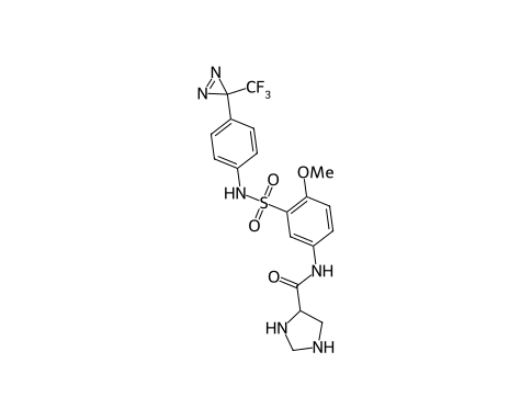 COc1ccc(NC(=O)C2CNCN2)cc1S(=O)(=O)Nc1ccc(C2(C(F)(F)F)N=N2)cc1